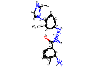 Cc1ccc(C(=O)N=[N+]=Nc2ccc(-n3ccnc3C)c(C(F)(F)F)c2)cc1N